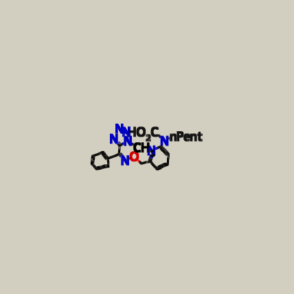 CCCCCN(C(=O)O)c1cccc(CO/N=C(/c2ccccc2)c2nnnn2C)n1